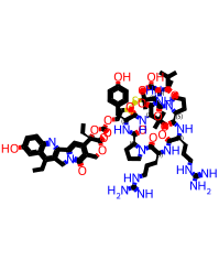 CCc1c2c(nc3ccc(O)cc13)-c1cc3c(c(=O)n1C2)COC(=O)[C@@]3(CC)OC(=O)OCCSSC(C)(C)[C@H](NC(C)=O)C(=O)N1CCC[C@H]1C(=O)N[C@@H](CCCNC(=N)N)C(=O)N[C@@H](CCCNC(=N)N)C(=O)N1CCC[C@H]1C(=O)N[C@@H](Cc1ccc(O)cc1)C(=O)N[C@H](C(=O)N[C@@H](CC(C)C)C(=O)O)C(C)(C)C